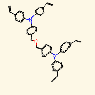 C=Cc1ccc(N(c2ccc(C=C)cc2)c2ccc(COCc3ccc(N(c4ccc(C=C)cc4)c4ccc(C=C)cc4)cc3)cc2)cc1